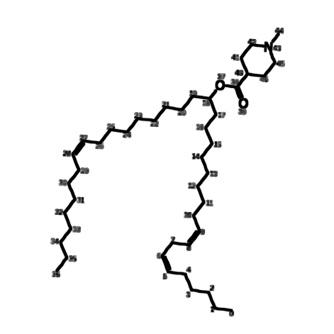 CCCCC/C=C\C/C=C\CCCCCCCCC(CCCCCCCC/C=C\CCCCCCCC)OC(=O)C1CCN(C)CC1